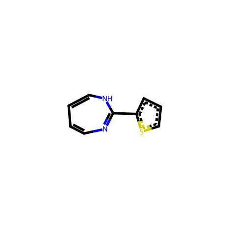 C1=CN=C(c2cccs2)NC=C1